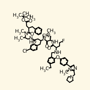 CCc1ccc(CNC(CCF)C(=O)NC(COC)C(=O)N(C)C(CC(=O)NCC(C)N(C)C(=O)C(CC(=O)OC(C)(C)C)Cc2ccccc2)Cc2ccc(Cl)cc2)c(Oc2ccc(-c3cnc(CN4CCCC4)n3C)cc2)c1